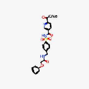 COC(=O)c1ccc(C(=O)NS(=O)(=O)c2ccc(CNC(=O)COc3ccccc3)cc2)cn1